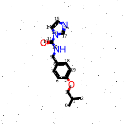 CC(C)COc1ccc(CNC(=O)n2ccnc2)cc1